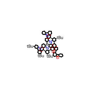 CC(C)(C)c1cc(-c2ccccc2)c(N2c3cc(-n4c5ccccc5c5ccccc54)ccc3B3c4ccc(-n5c6ccc(C(C)(C)C)cc6c6cc(C(C)(C)C)ccc65)cc4N(c4c(-c5ccccc5)cc(C(C)(C)C)cc4-c4ccccc4)c4cc(-c5cccc6c5oc5ccc7oc8ccccc8c7c56)cc2c43)c(-c2ccccc2)c1